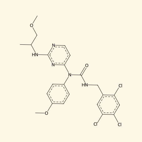 COCC(C)Nc1nccc(N(C(=O)NCc2cc(Cl)c(Cl)cc2Cl)c2ccc(OC)cc2)n1